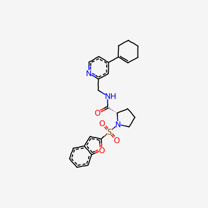 O=C(NCc1cc(C2=CCCCC2)ccn1)[C@@H]1CCCN1S(=O)(=O)c1cc2ccccc2o1